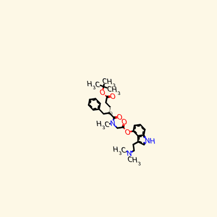 CN(C)CCc1c[nH]c2cccc(OC(=O)CN(C)C(=O)[C@@H](CCC(=O)OC(C)(C)C)Cc3ccccc3)c12